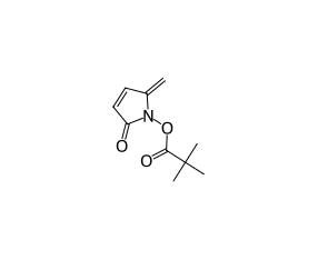 C=C1C=CC(=O)N1OC(=O)C(C)(C)C